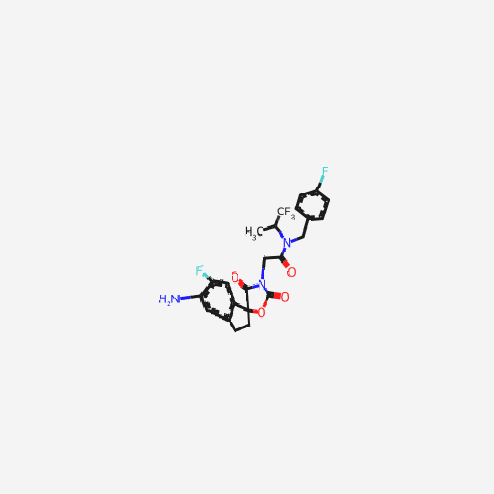 CC(N(Cc1ccc(F)cc1)C(=O)CN1C(=O)OC2(CCc3cc(N)c(F)cc32)C1=O)C(F)(F)F